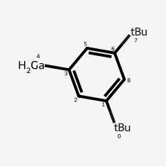 CC(C)(C)c1c[c]([GaH2])cc(C(C)(C)C)c1